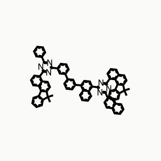 CC1(C)c2ccccc2-c2c1ccc1c(-c3nc(-c4ccccc4)nc(-c4cccc(-c5cccc(-c6ccc(-c7nc(-c8ccc9ccccc9c8)nc(-c8cccc9ccc%10c(c89)-c8ccccc8C%10(C)C)n7)c7ccccc67)c5)c4)n3)cccc21